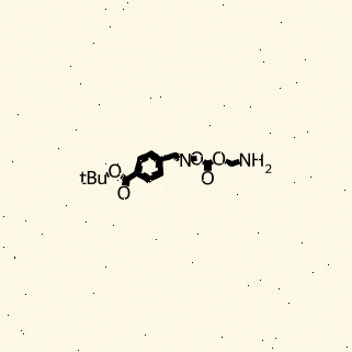 CC(C)(C)OC(=O)c1ccc(/C=N/OC(=O)OCN)cc1